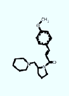 COc1ccc(C=CC(=O)N2CCCC2CN2CCCCC2)cc1